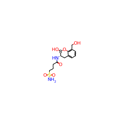 NS(=O)(=O)CCCC(=O)N[C@H]1Cc2cccc(CO)c2OB1O